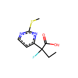 CCC(F)(C(=O)O)c1ccnc(SC)n1